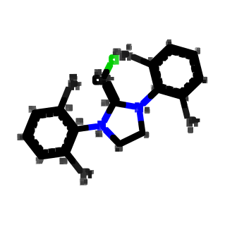 CC(C)c1cccc(C(C)C)c1N1CCN(c2c(C(C)C)cccc2C(C)C)[C]1=[Cu-2][Cl]